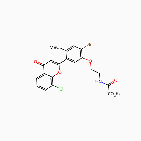 CCOC(=O)C(=O)NCCOc1cc(-c2cc(=O)c3cccc(Cl)c3o2)c(OC)cc1Br